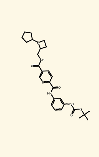 CC(C)(C)OC(=O)Nc1cccc(NC(=O)c2ccc(C(=O)NCC3CCN3C3CCCC3)cn2)c1